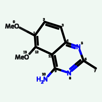 COc1ccc2nc(C)nc(N)c2c1OC